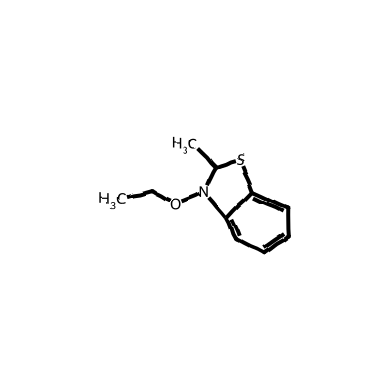 CCON1c2ccccc2SC1C